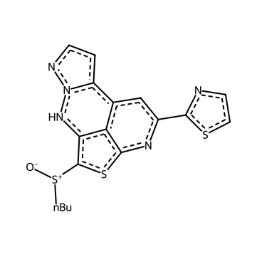 CCCC[S+]([O-])c1sc2nc(-c3nccs3)cc3c2c1[nH]n1nccc31